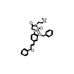 C[Si](C)(C)CCN1C(=O)CN(c2ccc(C=CC(=O)c3ccccc3)cc2OCc2ccccc2)S1(=O)=O